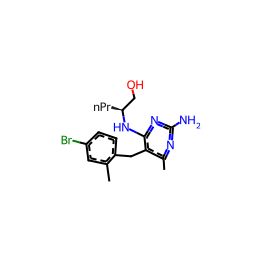 CCC[C@@H](CO)Nc1nc(N)nc(C)c1Cc1ccc(Br)cc1C